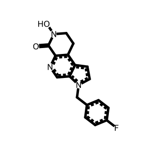 O=C1c2ncc3c(ccn3Cc3ccc(F)cc3)c2CCN1O